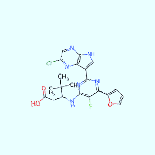 CC(C)(C)C(CC(=O)O)Nc1nc(-c2c[nH]c3ncc(Cl)nc23)nc(-c2ccco2)c1F